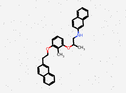 Cc1c(OCCc2ccc3ccccc3c2)cccc1OC(C)CNc1ccc2ccccc2c1